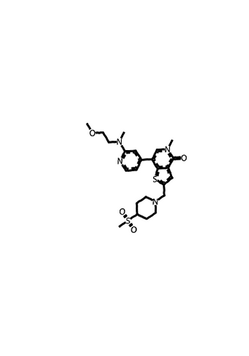 COCCN(C)c1cc(-c2cn(C)c(=O)c3cc(CN4CCC(S(C)(=O)=O)CC4)sc23)ccn1